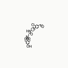 Cc1cc(O)cc(C)c1S(=O)(=O)N(C)CCC(=O)NC1CCN(c2ccc(CN3CCCC3)cc2Cl)CC1